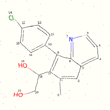 Cc1cc2cccnc2c(-c2ccc(Cl)cc2)c1C(O)CO